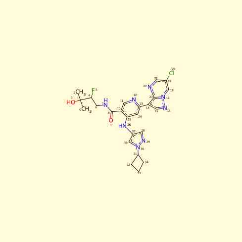 CC(C)(O)C(F)CNC(=O)c1cnc(-c2cnn3cc(Cl)cnc23)cc1Nc1cnn(C2CCC2)c1